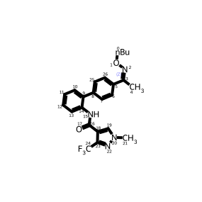 CCCCO/N=C(/C)c1ccc(-c2ccccc2NC(=O)c2cn(C)nc2C(F)(F)F)cc1